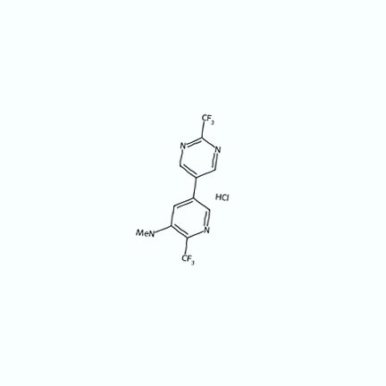 CNc1cc(-c2cnc(C(F)(F)F)nc2)cnc1C(F)(F)F.Cl